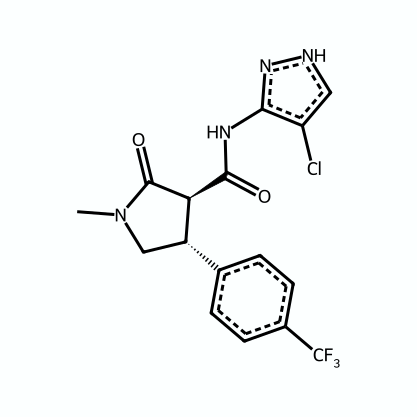 CN1C[C@@H](c2ccc(C(F)(F)F)cc2)[C@H](C(=O)Nc2n[nH]cc2Cl)C1=O